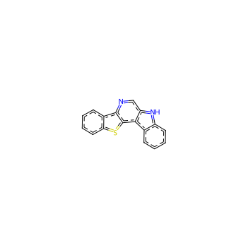 c1ccc2c(c1)[nH]c1cnc3c4ccccc4sc3c12